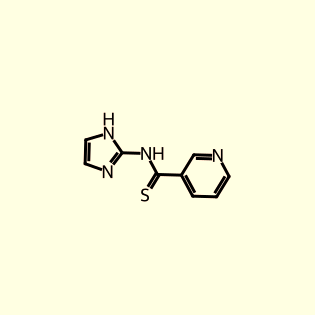 S=C(Nc1ncc[nH]1)c1cccnc1